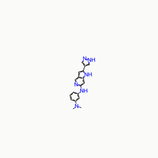 CN(C)c1cccc(Nc2cc3[nH]c(-c4cn[nH]c4)cc3cn2)c1